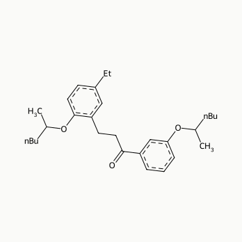 CCCCC(C)Oc1cccc(C(=O)CCc2cc(CC)ccc2OC(C)CCCC)c1